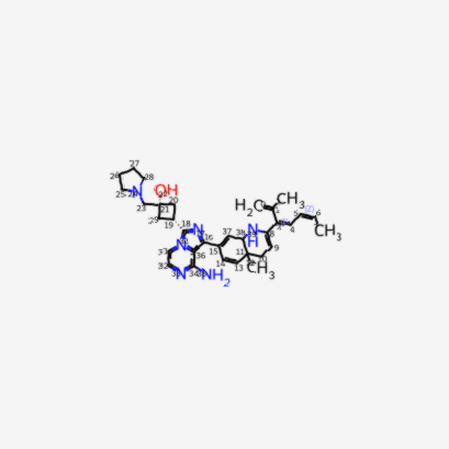 C=C(C)/C(=C\C=C/C)C1=CCC2(C)C=CC(c3nc([C@H]4C[C@](O)(CN5CCCC5)C4)n4ccnc(N)c34)=CC2N1